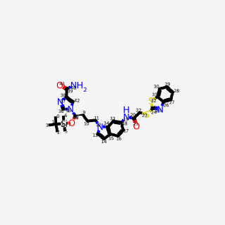 CC(C)(C)[Si](C)(C)O[C@H](CCCn1ccc2ccc(NC(=O)CSc3nc4ccccc4s3)cc21)n1cnc(C(N)=O)c1